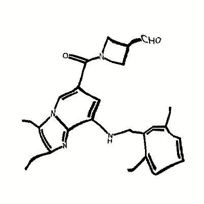 Cc1cccc(C)c1CNc1cc(C(=O)N2CC(C=O)C2)cn2c(C)c(C)nc12